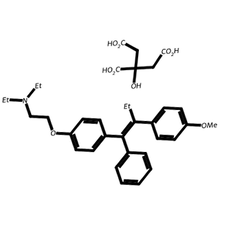 CCC(=C(c1ccccc1)c1ccc(OCCN(CC)CC)cc1)c1ccc(OC)cc1.O=C(O)CC(O)(CC(=O)O)C(=O)O